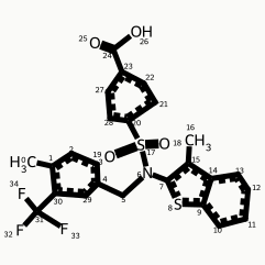 Cc1ccc(CN(c2sc3ccccc3c2C)S(=O)(=O)c2ccc(C(=O)O)cc2)cc1C(F)(F)F